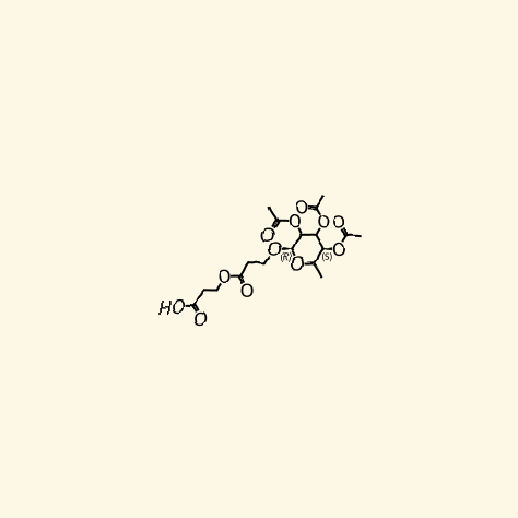 CC(=O)OC1C(OC(C)=O)[C@@H](OC(C)=O)C(C)O[C@H]1OCCC(=O)OCCC(=O)O